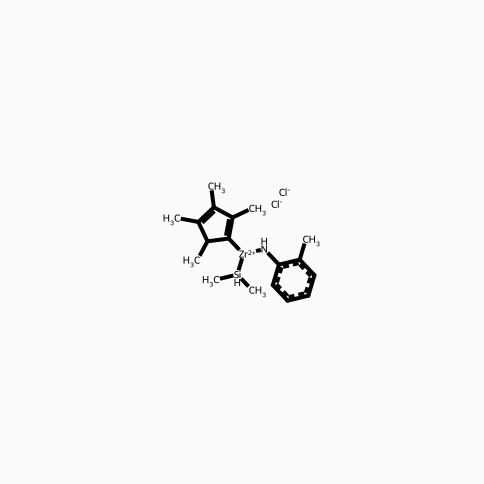 CC1=C(C)C(C)[C]([Zr+2]([NH]c2ccccc2C)[SiH](C)C)=C1C.[Cl-].[Cl-]